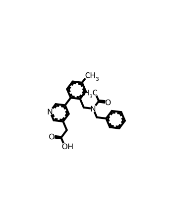 CC(=O)N(Cc1ccccc1)Cc1cc(C)ccc1-c1cncc(CC(=O)O)c1